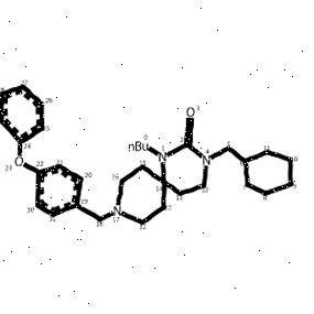 CCCCN1C(=O)N(CC2CCCCC2)CCC12CCN(Cc1ccc(Oc3ccccc3)cc1)CC2